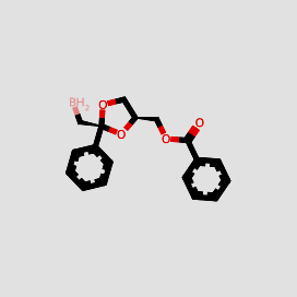 BC[C@@]1(c2ccccc2)OC[C@@H](COC(=O)c2ccccc2)O1